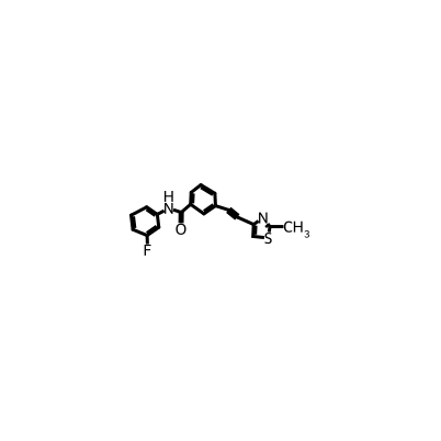 Cc1nc(C#Cc2cccc(C(=O)Nc3cccc(F)c3)c2)cs1